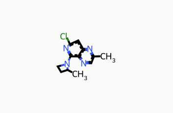 Cc1cnc2c(N3CCC3C)nc(Cl)cc2n1